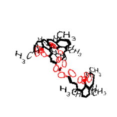 C[C@@H]1CC[C@H]2[C@@H](C)C(CC(=O)OC(OC(=O)CC3O[C@@H]4O[C@@]5(C)CC[C@H]6[C@H](C)CC[C@@H]([C@H]3C)[C@@]46OO5)OC(=O)CC3O[C@@H]4O[C@@]5(C)CC[C@H]6CCC[C@@H]([C@H]3C)[C@]64OO5)O[C@@H]3O[C@@]4(C)CC[C@@H]1[C@]32OO4